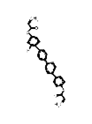 C=CC(=O)Sc1ccc(-c2ccc(-c3ccc(-c4ccc(SC(=O)C=C)cc4F)cc3)cc2)cc1